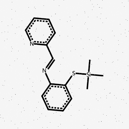 C[Si](C)(C)Sc1ccccc1N=Cc1ccccn1